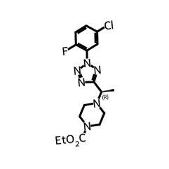 CCOC(=O)N1CCN([C@H](C)c2nnn(-c3cc(Cl)ccc3F)n2)CC1